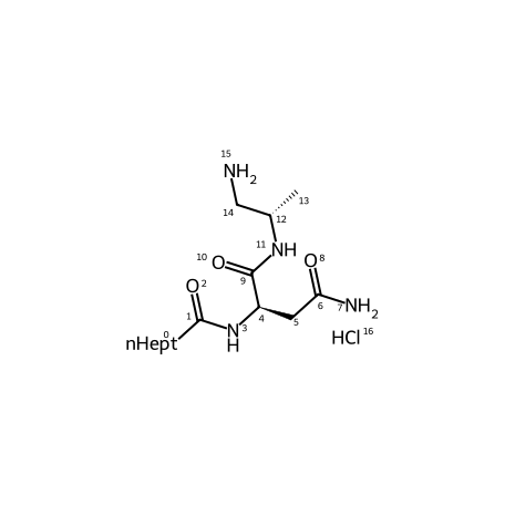 CCCCCCCC(=O)N[C@H](CC(N)=O)C(=O)N[C@@H](C)CN.Cl